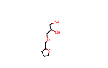 OCC(O)COCC1CCCO1